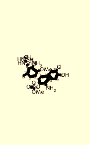 CCCC.COS(=O)(=O)Oc1ccccc1N.COc1ccc(C)cc1N.N=[SH2].N=[SH2].Oc1ccccc1Cl